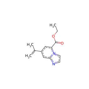 C=C(C)c1cc(C(=O)OCC)n2ccnc2c1